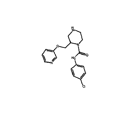 O=C(Nc1ccc(Cl)cc1)N1CCNCC1COc1cccnc1